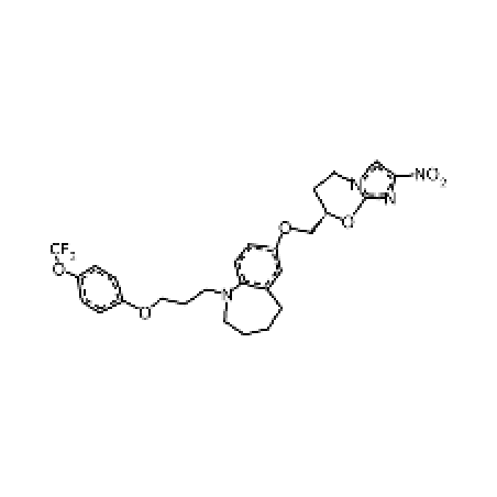 O=[N+]([O-])c1cn2c(n1)O[C@@H](COc1ccc3c(c1)CCCCN3CCCOc1ccc(OC(F)(F)F)cc1)CC2